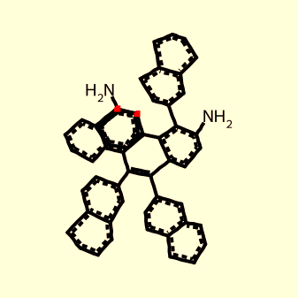 Nc1ccc(C(=C(c2ccc3ccccc3c2)c2ccc(N)c(-c3ccc4ccccc4c3)c2-c2ccc3ccccc3c2)c2ccc3ccccc3c2)cc1